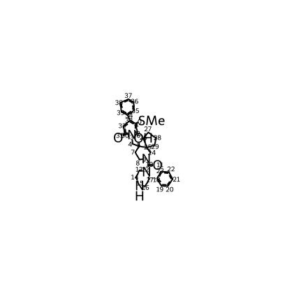 CSc1cn(CC2(O)CCN(C(=O)N3CCNC[C@H]3c3ccccc3)CC23CCCC3)c(=O)cc1-c1ccccc1